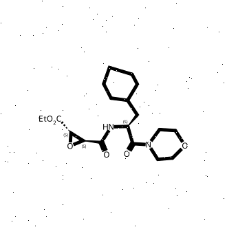 CCOC(=O)[C@H]1O[C@@H]1C(=O)N[C@@H](CC1CCCCC1)C(=O)N1CCOCC1